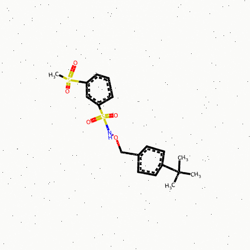 CC(C)(C)c1ccc(CONS(=O)(=O)c2cccc(S(C)(=O)=O)c2)cc1